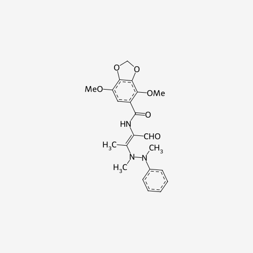 COc1cc(C(=O)N/C(C=O)=C(\C)N(C)N(C)c2ccccc2)c(OC)c2c1OCO2